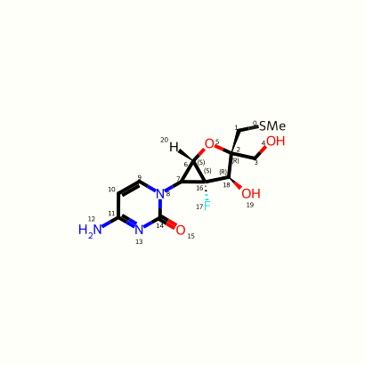 CSC[C@]1(CO)O[C@H]2C(n3ccc(N)nc3=O)[C@]2(F)[C@@H]1O